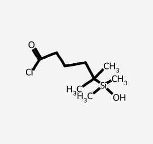 CC(C)(CCCC(=O)Cl)[Si](C)(C)O